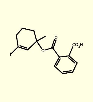 CC1(OC(=O)c2ccccc2C(=O)O)C=C(I)CCC1